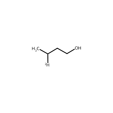 [2H]C(C)CCO